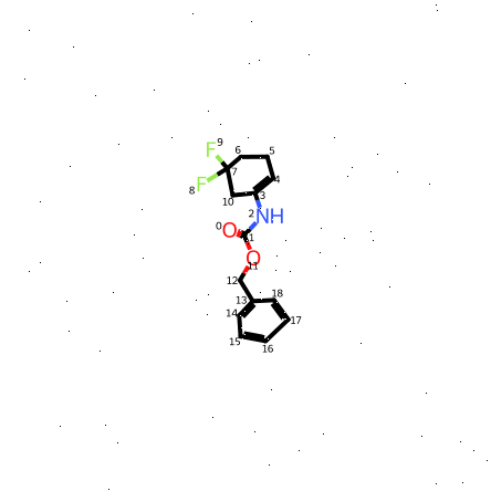 O=C(NC1=CCCC(F)(F)C1)OCc1ccccc1